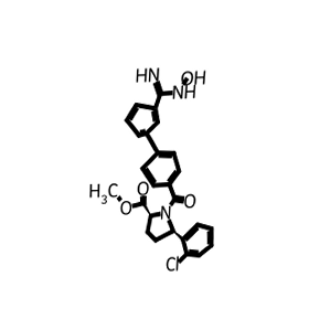 COC(=O)[C@@H]1CC[C@H](c2ccccc2Cl)N1C(=O)c1ccc(-c2cccc(C(=N)NO)c2)cc1